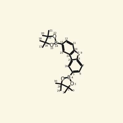 CC1(C)OB(c2ccc3sc4ccc(B5OC(C)(C)C(C)(C)O5)cc4c3c2)OC1(C)C